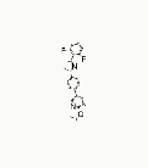 CC(C)Oc1ncc(-c2ccc([C@H]3CCC(c4c(F)cccc4F)=N3)cc2)cn1